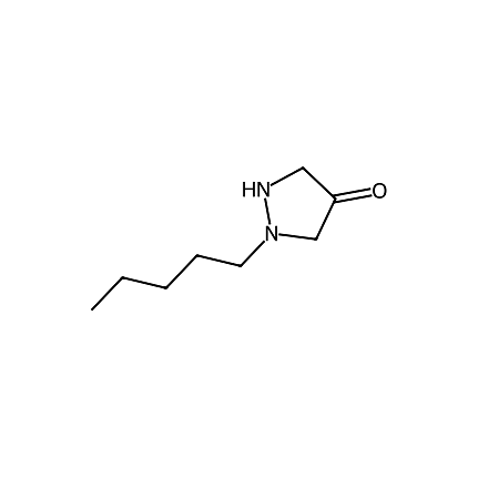 CCCCCN1CC(=O)CN1